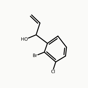 C=CC(O)c1cccc(Cl)c1Br